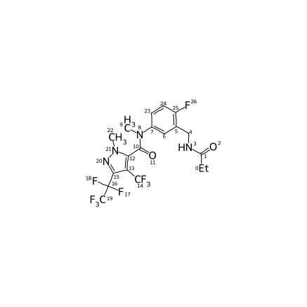 CCC(=O)NCc1cc(N(C)C(=O)c2c(C(F)(F)F)c(C(F)(F)C(F)(F)F)nn2C)ccc1F